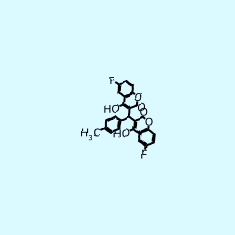 Cc1ccc(C(c2c(O)c3cc(F)ccc3oc2=O)c2c(O)c3cc(F)ccc3oc2=O)cc1